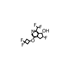 O[C@H]1c2c(C(F)F)ncc(OC3CC(F)(F)C3)c2C[C@@H]1F